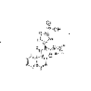 C[C@H](c1cccc2ccccc12)N(C(=O)OC(C)(C)C)[C@@H]1CCN(C(=O)O)C1